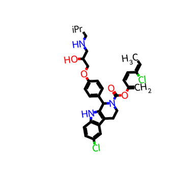 C=C(/C=C\C(Cl)=C/C)OC(=O)N1CCc2c([nH]c3ccc(Cl)cc23)C1c1ccc(OCC(O)CNCC(C)C)cc1